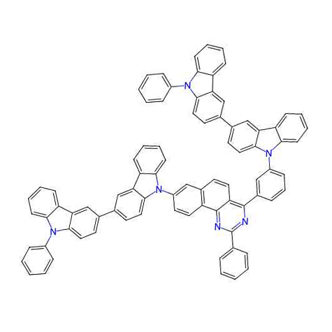 c1ccc(-c2nc(-c3cccc(-n4c5ccccc5c5cc(-c6ccc7c(c6)c6ccccc6n7-c6ccccc6)ccc54)c3)c3ccc4cc(-n5c6ccccc6c6cc(-c7ccc8c(c7)c7ccccc7n8-c7ccccc7)ccc65)ccc4c3n2)cc1